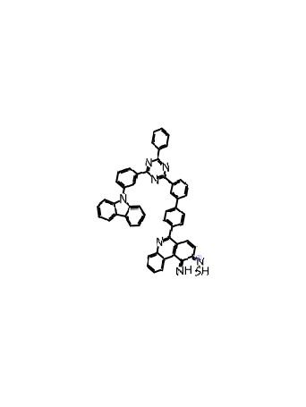 N=C1/C(=N\S)C=Cc2c(-c3ccc(-c4cccc(-c5nc(-c6ccccc6)nc(-c6cccc(-n7c8ccccc8c8ccccc87)c6)n5)c4)cc3)nc3ccccc3c21